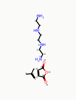 C=C(C)C.NCCNCCNCCN.O=C1C=CC(=O)O1